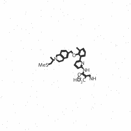 CCO/C(Nc1cccc(-c2cccc(C)c2OCc2ccc3c(c2)CCN(C(C)CSC)C3)n1)=C(/C=N)C(=O)O